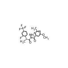 COc1cc(C(=O)N(N)C(=O)C(C)c2ccc(C(F)(F)F)cc2F)nc(C)n1